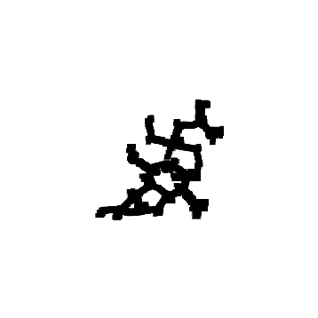 C=C(O)CC(CC)(CC)[C@@H]1NC(=N)C2CC3C(C)C3N2C1=O